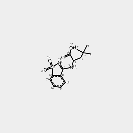 CC(C)(C)CC(NC1=NS(=O)(=O)c2ccccc21)C(=O)O